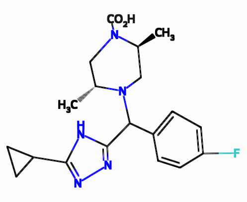 C[C@@H]1CN(C(=O)O)[C@@H](C)CN1C(c1ccc(F)cc1)c1nnc(C2CC2)[nH]1